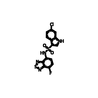 O=S(=O)(Nc1ccc(F)c2nsnc12)c1c[nH]c2cc(Cl)ccc12